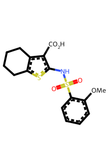 COc1ccccc1S(=O)(=O)Nc1sc2c(c1C(=O)O)CCCC2